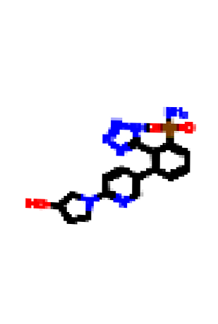 NS(=O)(=O)c1cccc(-c2ccc(N3CCC(O)C3)nc2)c1-c1nnn[nH]1